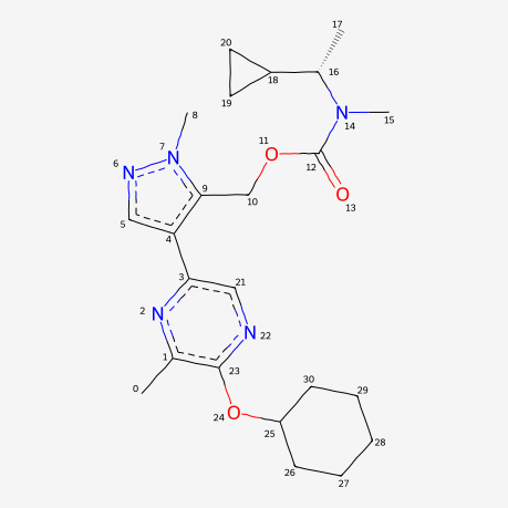 Cc1nc(-c2cnn(C)c2COC(=O)N(C)[C@@H](C)C2CC2)cnc1OC1CCCCC1